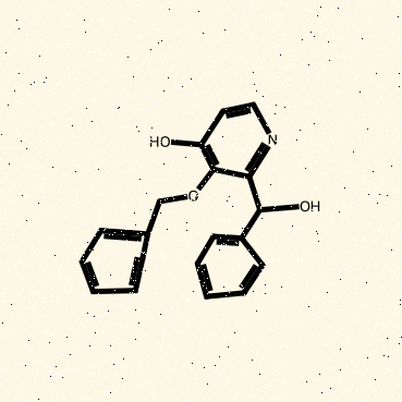 Oc1ccnc(C(O)c2ccccc2)c1OCc1ccccc1